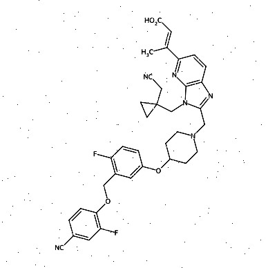 C/C(=C\C(=O)O)c1ccc2nc(CN3CCC(Oc4ccc(F)c(COc5ccc(C#N)cc5F)c4)CC3)n(CC3(CC#N)CC3)c2n1